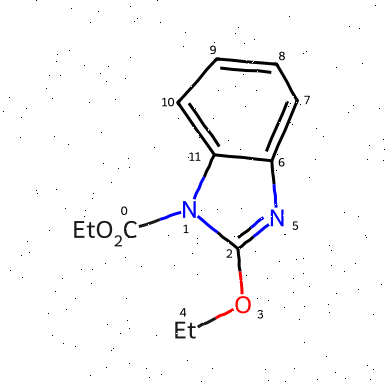 CCOC(=O)n1c(OCC)nc2ccccc21